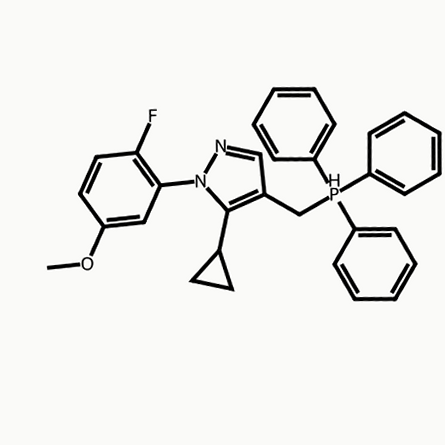 COc1ccc(F)c(-n2ncc(C[PH](c3ccccc3)(c3ccccc3)c3ccccc3)c2C2CC2)c1